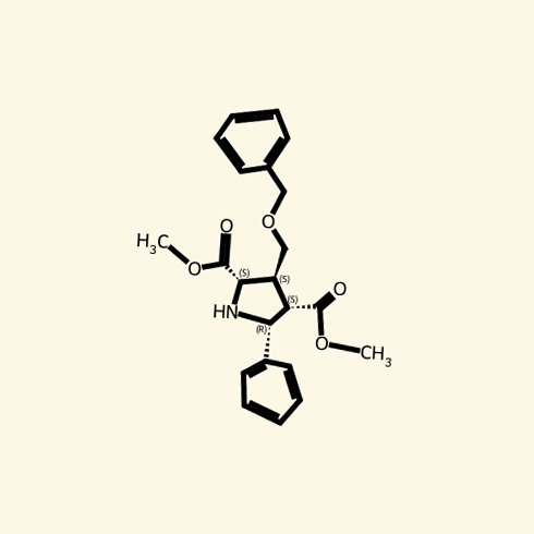 COC(=O)[C@H]1[C@H](COCc2ccccc2)[C@@H](C(=O)OC)N[C@H]1c1ccccc1